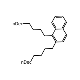 CCCCCCCCCCCCCCc1ccc2ccccc2c1CCCCCCCCCCCCCC